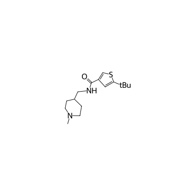 CN1CCC(CNC(=O)c2csc(C(C)(C)C)c2)CC1